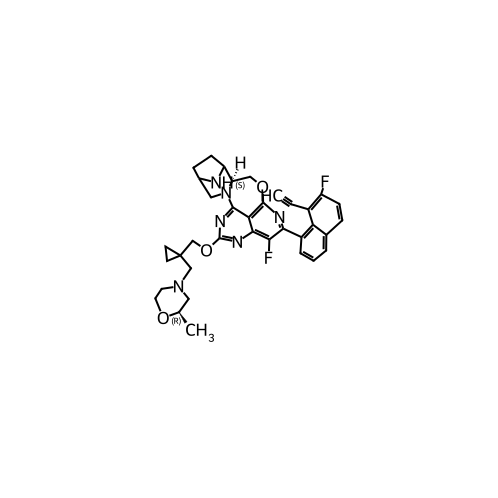 C#Cc1c(F)ccc2cccc(-c3nc4c5c(nc(OCC6(CN7CCO[C@H](C)C7)CC6)nc5c3F)N3CC5CCC(N5)[C@H]3CO4)c12